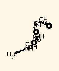 CCCCCCNC(=O)Nc1ccc(S(=O)(=O)Nc2ccc(C[C@@H]3CC[C@H]([C@H](O)COc4ccccc4)N3)cc2)cc1